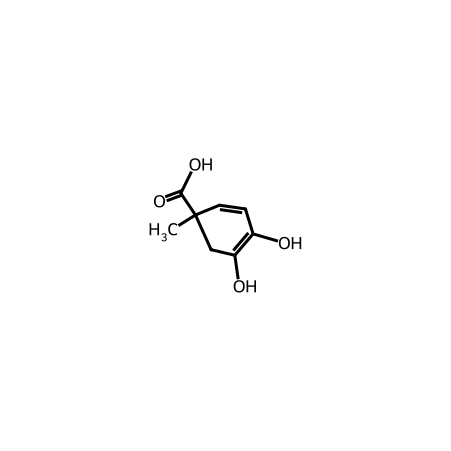 CC1(C(=O)O)C=CC(O)=C(O)C1